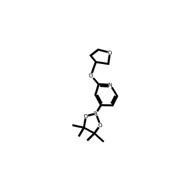 CC1(C)OB(c2ccnc(OC3CCOC3)c2)OC1(C)C